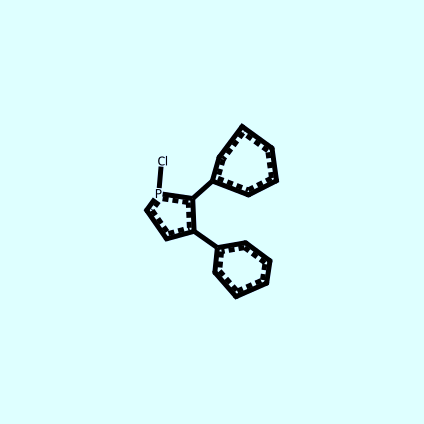 Clp1ccc(-c2ccccc2)c1-c1ccccc1